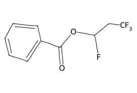 O=C(OC(F)CC(F)(F)F)c1ccccc1